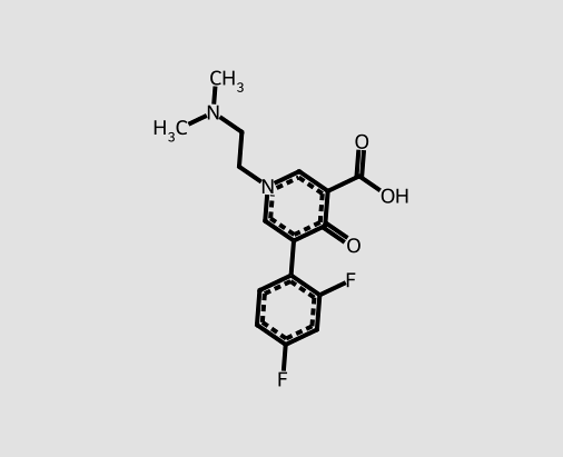 CN(C)CCn1cc(C(=O)O)c(=O)c(-c2ccc(F)cc2F)c1